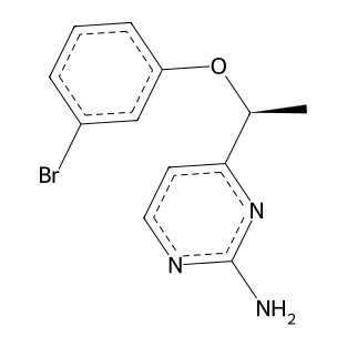 C[C@H](Oc1cccc(Br)c1)c1ccnc(N)n1